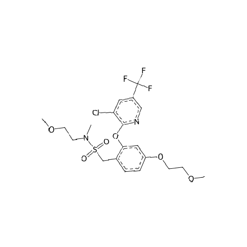 COCCOc1ccc(CS(=O)(=O)N(C)CCOC)c(Oc2ncc(C(F)(F)F)cc2Cl)c1